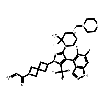 [2H]C([2H])([2H])c1c(-c2c(Cl)c(Cl)cc3[nH]ncc23)c(N2CC[C@@H](CN3CCOCC3)CC2(C)C)nn1C1CC2(C1)CN(C(=O)C=C)C2